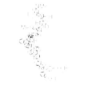 CNC(=O)C[C@H](N)c1nc(C(=O)NC(c2nc(C(=O)NCC(=O)N[C@H](c3nc(-c4nc(-c5nc(-c6nc(N(Cc7ccc(C(=O)O)cc7)C(=O)O[C@H]7CC[C@H](C(=O)O)CC7)cs6)ccc5-c5nc(C=O)cs5)cs4)cs3)[C@@H](O)c3ccccc3)c(COC)s2)C(C)C)c(C)s1